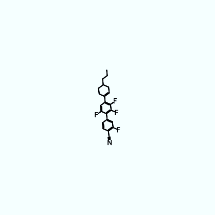 CCCC1CC=C(c2cc(F)c(-c3ccc(C#N)c(F)c3)c(F)c2F)CC1